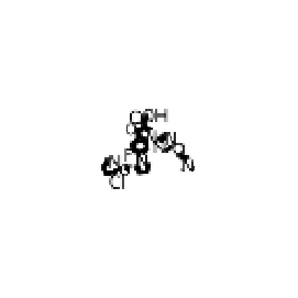 CN(C)CCOc1cnc(-n2cc(C(=O)O)c(=O)c3cc(F)c(N4CCC[C@@H]4COc4ncccc4Cl)cc32)cn1